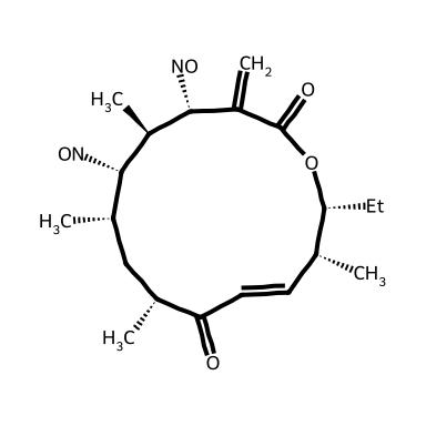 C=C1C(=O)O[C@H](CC)[C@H](C)/C=C/C(=O)[C@H](C)C[C@H](C)[C@H](N=O)[C@@H](C)[C@@H]1N=O